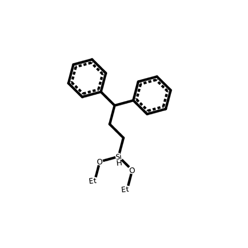 CCO[SiH](CCC(c1ccccc1)c1ccccc1)OCC